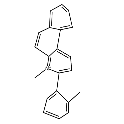 Cc1ccccc1-c1ccc2c3ccccc3ccc2[n+]1C